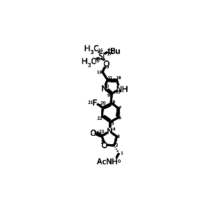 CC(=O)NC[C@H]1CN(c2ccc(-c3nc(CO[Si](C)(C)C(C)(C)C)c[nH]3)c(F)c2)C(=O)O1